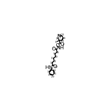 CC1(C(=O)ONC(=O)CCCCCCC(=O)Nc2ccccc2)C=CC=NC1